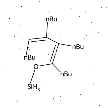 CCCCC=C(CCCC)C(CCCC)=C(CCCC)O[SiH3]